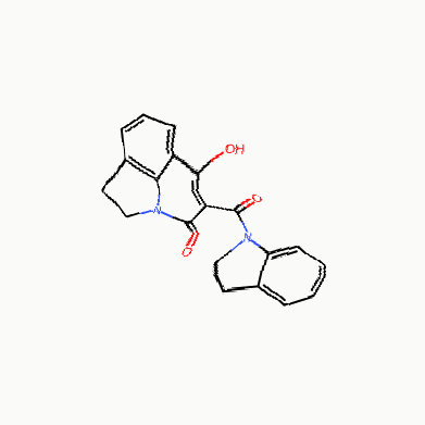 O=C(c1c(O)c2cccc3c2n(c1=O)CC3)N1CCc2ccccc21